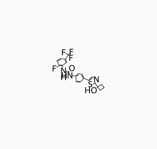 O=C(Nc1ccc(-c2cnc(C3(O)CCC3)s2)cc1)Nc1cc(C(F)(F)F)ccc1F